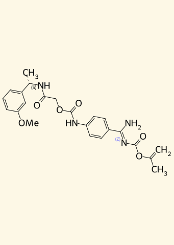 C=C(C)OC(=O)/N=C(\N)c1ccc(NC(=O)OCC(=O)N[C@@H](C)c2cccc(OC)c2)cc1